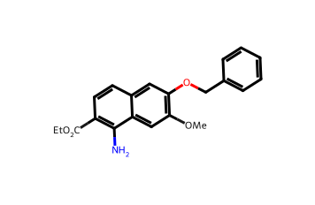 CCOC(=O)c1ccc2cc(OCc3ccccc3)c(OC)cc2c1N